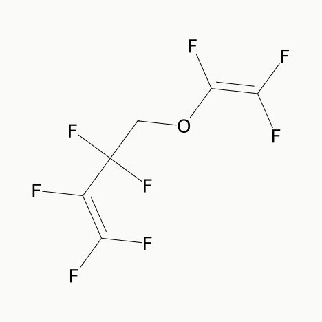 FC(F)=C(F)OCC(F)(F)C(F)=C(F)F